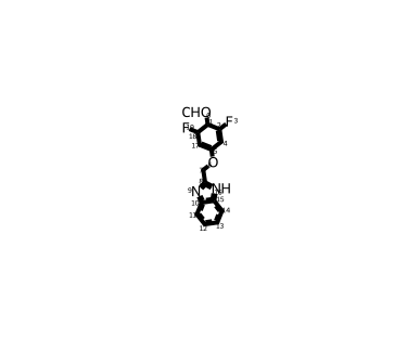 O=CC1C(F)=CC(OCc2nc3ccccc3[nH]2)=CC1F